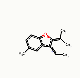 C/C=c1\c(=C(C)C)oc2ccc(C)cc12